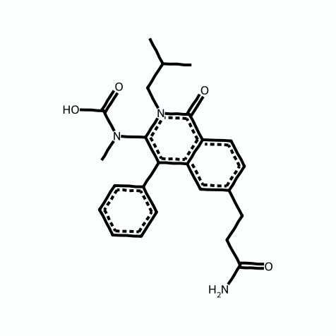 CC(C)Cn1c(N(C)C(=O)O)c(-c2ccccc2)c2cc(CCC(N)=O)ccc2c1=O